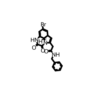 O=C(CC1=CC2C=C(Br)C=C3NC(=O)C(=O)N1[C@H]32)NCc1ccccc1